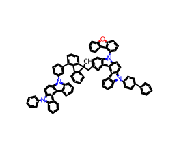 CC1(Cc2ccc3c(c2)c2c4c5ccccc5n(-c5ccc(-c6ccccc6)cc5)c4ccc2n3-c2cccc3oc4ccccc4c23)c2ccccc2-c2c(-c3cccc(-n4c5ccccc5c5c6c7ccccc7n(-c7ccccc7)c6ccc54)c3)cccc21